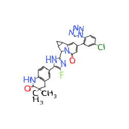 CC1(C)Cc2cc(-c3[nH]c(C4C5CC5c5cc(-c6cc(Cl)ccc6-n6cnnn6)cc(=O)n54)nc3F)ccc2NC1=O